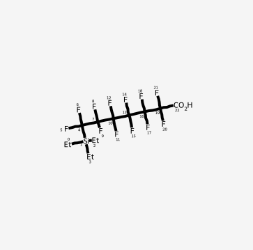 CC[Si](CC)(CC)C(F)(F)C(F)(F)C(F)(F)C(F)(F)C(F)(F)C(F)(F)C(=O)O